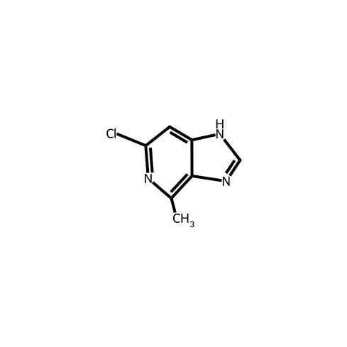 Cc1nc(Cl)cc2[nH]cnc12